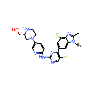 Cc1nc2c(F)cc(-c3nc(Nc4ccc(N5CCN[C@@H](CO)C5)cn4)ncc3F)cc2n1C(C)C